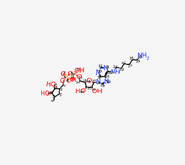 CC1CC(COP(=O)(O)OP(=O)(O)OCC2OC(n3cnc4c(NCCCCCCN)ncnc43)C(O)C2O)C(O)C1O